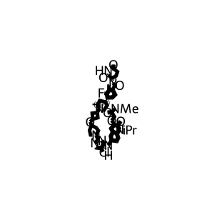 CNC(=O)COc1cc2cc(Nc3nc(N4CCC(OC5CC(N6CC[C@@H](c7ccc8c(c7F)CN([C@H]7CCC(=O)NC7=O)C8=O)C[C@@H]6C)C5)CC4)ncc3Cl)ccc2n(C(C)C)c1=O